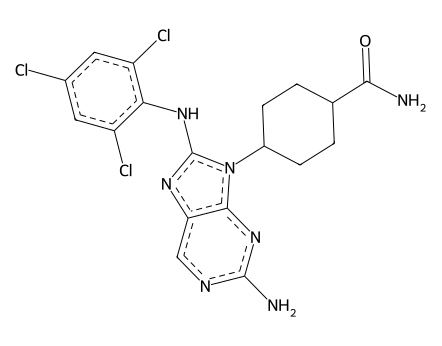 NC(=O)C1CCC(n2c(Nc3c(Cl)cc(Cl)cc3Cl)nc3cnc(N)nc32)CC1